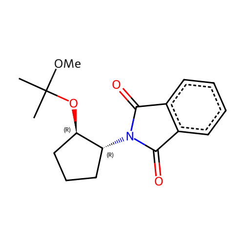 COC(C)(C)O[C@@H]1CCC[C@H]1N1C(=O)c2ccccc2C1=O